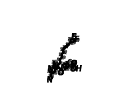 C[C@@H]1CN(C(=O)c2c(CCCCCCC#CC3CC(F)(F)C3)n(C)c3ncc(C#N)cc23)C[C@H]1C(=O)O